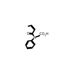 C/C=C\C(=O)N(CC(=O)O)c1ccccc1